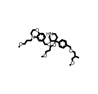 COCCCO[C@]1(c2ccc(COCC(C)COC)cc2)CCNC[C@@H]1OCc1ccc2c(c1)N(CCCOC)CCO2